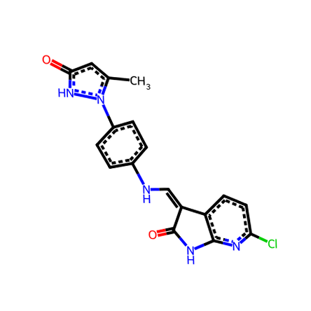 Cc1cc(=O)[nH]n1-c1ccc(NC=C2C(=O)Nc3nc(Cl)ccc32)cc1